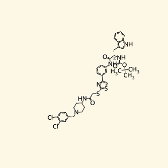 CC(C)(C)OC(=O)N[C@@H](Cc1c[nH]c2ccccc12)C(=O)Nc1cccc(-c2csc(SCC(=O)NC3CCN(Cc4ccc(Cl)c(Cl)c4)CC3)n2)c1